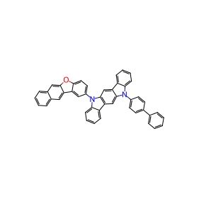 c1ccc(-c2ccc(-n3c4ccccc4c4cc5c(cc43)c3ccccc3n5-c3ccc4oc5cc6ccccc6cc5c4c3)cc2)cc1